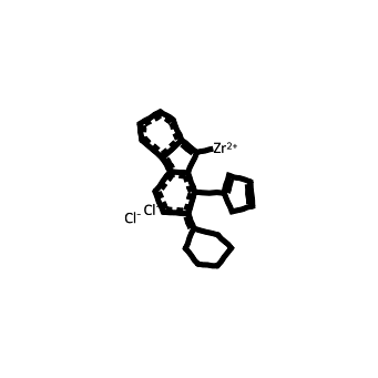 [Cl-].[Cl-].[Zr+2][C]1=c2ccccc2=c2ccc(=C3CCCCC3)c(C3=CC=CC3)c21